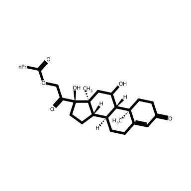 CCCC(=O)OCC(=O)[C@@]1(O)CC[C@H]2[C@@H]3CCC4=CC(=O)CC[C@]4(C)[C@H]3C(O)C[C@@]21C